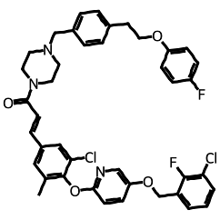 Cc1cc(C=CC(=O)N2CCN(Cc3ccc(CCOc4ccc(F)cc4)cc3)CC2)cc(Cl)c1Oc1ccc(OCc2cccc(Cl)c2F)cn1